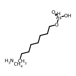 C.CCCCCCCCO[AsH](=O)O.N